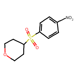 O=[N+]([O-])c1ccc(S(=O)(=O)C2CCOCC2)cc1